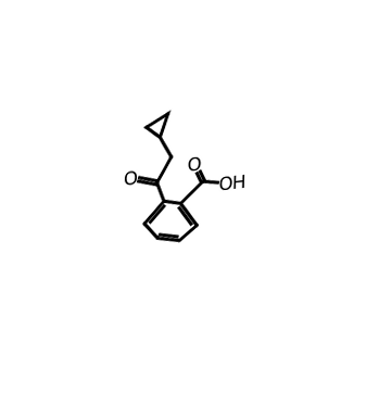 O=C(O)c1ccccc1C(=O)CC1CC1